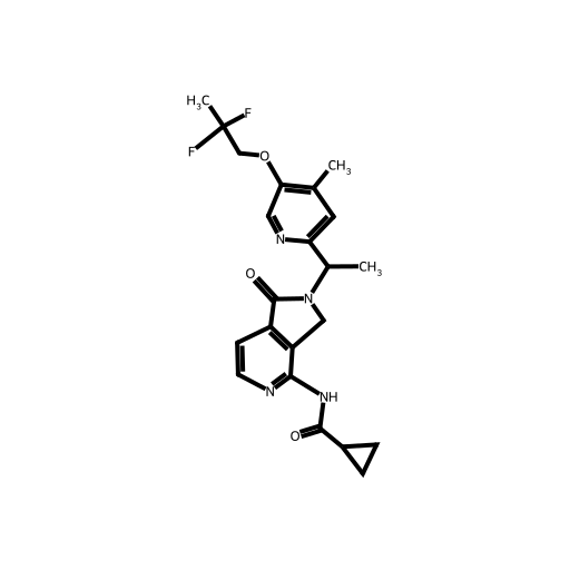 Cc1cc(C(C)N2Cc3c(ccnc3NC(=O)C3CC3)C2=O)ncc1OCC(C)(F)F